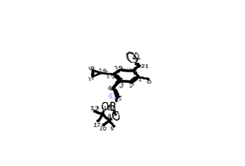 Cc1cc(/C=C/B2OC(C)(C)C(C)(C)O2)c(C2CC2)cc1C=O